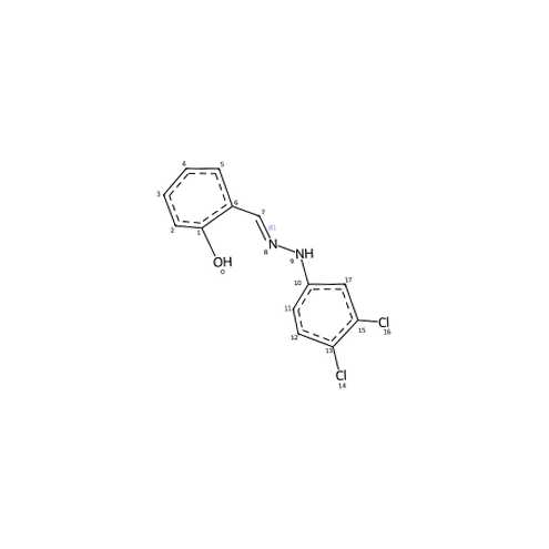 Oc1ccccc1/C=N/Nc1ccc(Cl)c(Cl)c1